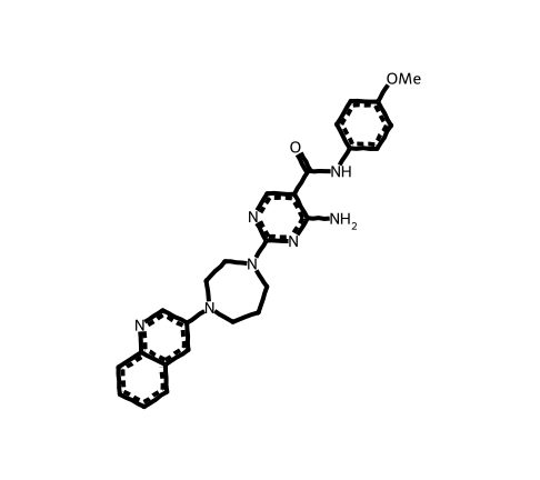 COc1ccc(NC(=O)c2cnc(N3CCCN(c4cnc5ccccc5c4)CC3)nc2N)cc1